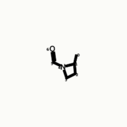 CC1CCN1C=O